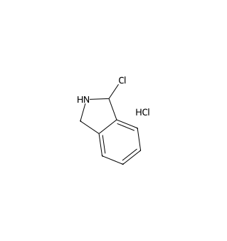 Cl.ClC1NCc2ccccc21